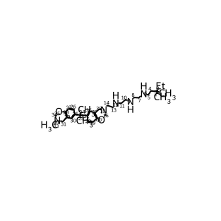 CCC(C)(C)CCNCCNCCNCCN1COc2ccc(C(C)(C)c3ccc4c(c3)CN(C)CO4)cc2C1